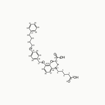 O=C(O)CCCCN1CC(C(=O)O)Oc2c(OCc3ccc(OCCCCc4ccccc4)cc3)cccc21